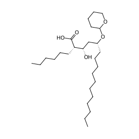 CCCCCCCCCCC[C@H](C[C@H](O)[C@H](CCCCCC)C(=O)O)OC1CCCCO1